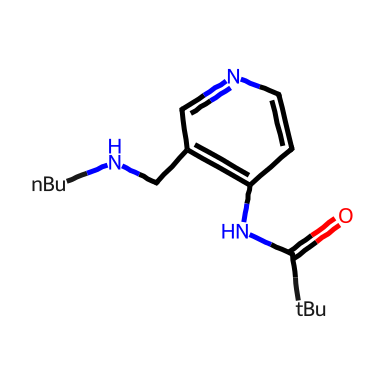 CCCCNCc1cnccc1NC(=O)C(C)(C)C